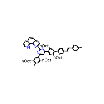 CCCCCCCCc1cc(-c2cc(-c3cc(CCCCCCCC)c(-c4ccc(/C=C/c5ccc(C)cc5)cc4)cc3CCCCCCCC)nc(-c3ccc4ccc5cccnc5c4n3)n2)c(CCCCCCCC)cc1C